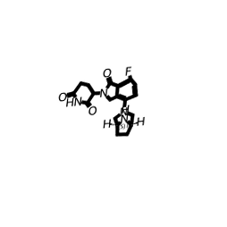 O=C1CCC(N2Cc3c(N4C[C@H]5CC[C@@H](C4)N5)ccc(F)c3C2=O)C(=O)N1